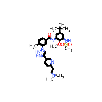 COc1c(NC(=O)c2ccc(C)c(N3C=C(c4ccc(CCN(C)C)nc4)NN3)c2)cc(C(C)(C)C)cc1NS(C)(=O)=O